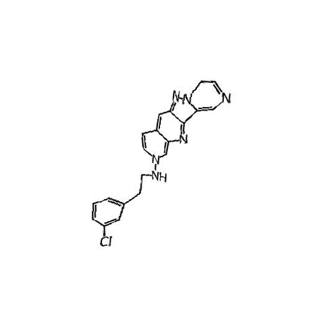 Clc1cccc(CCNN2C=Cc3cc4nn5c(c4nc3=C2)=CN=CC5)c1